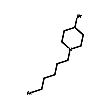 CC(=O)CCCCCN1CCC(C(C)C)CC1